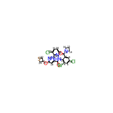 O=C(Nc1c(Br)cc(Cl)cc1C(=O)N1CCC1)c1cc(OC2CSC2)nn1-c1ncccc1Cl